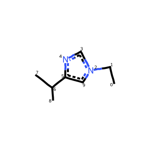 CCn1cnc(C(C)C)c1